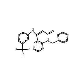 O=C/C=C(/Nc1cccc(C(F)(F)F)c1)c1ccccc1NCc1ccccc1